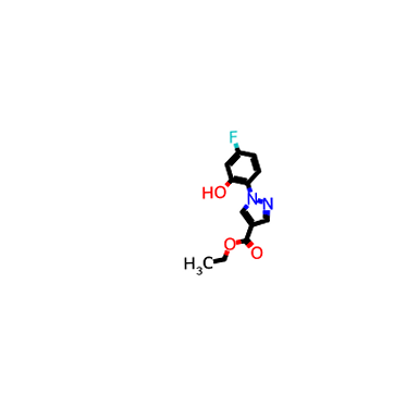 CCOC(=O)c1cnn(-c2ccc(F)cc2O)c1